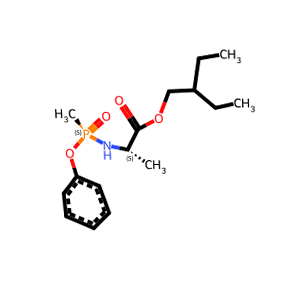 CCC(CC)COC(=O)[C@H](C)N[P@@](C)(=O)Oc1ccccc1